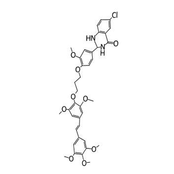 COc1cc(C2NC(=O)c3cc(Cl)ccc3N2)ccc1OCCCOc1c(OC)cc(C=Cc2cc(OC)c(OC)c(OC)c2)cc1OC